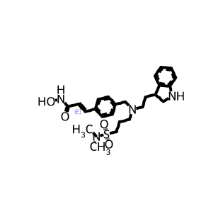 CN(C)S(=O)(=O)CCCN(CCC1CNc2ccccc21)Cc1ccc(/C=C/C(=O)NO)cc1